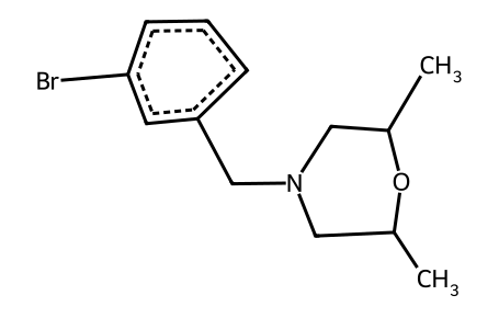 CC1CN(Cc2cccc(Br)c2)CC(C)O1